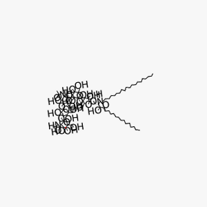 CCCCCCCCCCCCC/C=C/[C@@H](O)[C@H](CO[C@@H]1OC(CO)[C@@H](O[C@@H]2OC(CO)[C@H](O)[C@H](O[C@@H]3OC(CO)[C@@H](O[C@@H]4OC(CO)[C@H](O)[C@H](O[C@H]5OC(CO)[C@@H](O)[C@H](O)C5NC(C)=O)C4O)[C@H](O)C3NC(C)=O)C2O)[C@H](O)C1O)NC(=O)CCCCCCCCCCCCCCCCCCC